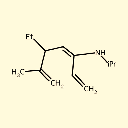 C=C/C(=C\C(CC)C(=C)C)NC(C)C